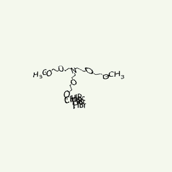 Br.Br.Br.COCCOCCN(CCOCCOC)CCOCCOC